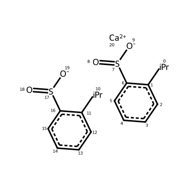 CC(C)c1ccccc1S(=O)[O-].CC(C)c1ccccc1S(=O)[O-].[Ca+2]